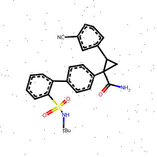 CC(C)(C)NS(=O)(=O)c1ccccc1-c1ccc(C2(C(N)=O)CC2c2cccc(C#N)c2)cc1